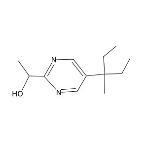 CCC(C)(CC)c1cnc(C(C)O)nc1